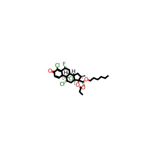 CCCCCCOC(=S)[C@@]1(OC(=O)CC)[C@H](C)C[C@H]2[C@@H]3C[C@H](F)C4=C(Cl)C(=O)C=C[C@]4(C)[C@@]3(Cl)[C@@H](Cl)C[C@@]21C